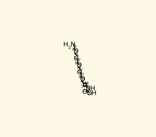 NCCOCCOCCOCCOCCOCC1CC(NC(=O)O)C1